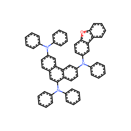 c1ccc(N(c2ccccc2)c2ccc3cc(N(c4ccccc4)c4ccccc4)c4ccc(N(c5ccccc5)c5ccc6oc7ccccc7c6c5)cc4c3c2)cc1